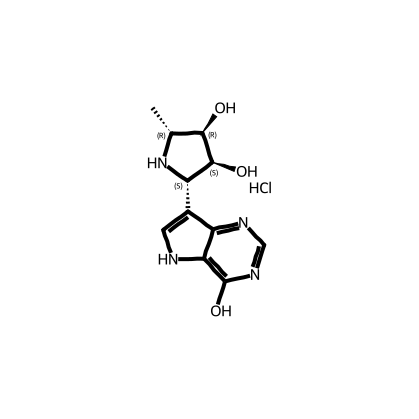 C[C@H]1N[C@@H](c2c[nH]c3c(O)ncnc23)[C@H](O)[C@@H]1O.Cl